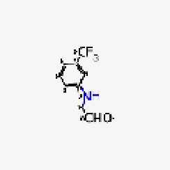 O=[C]CNc1cccc(C(F)(F)F)c1